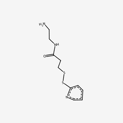 NCCNC(=O)CCSSc1ccccn1